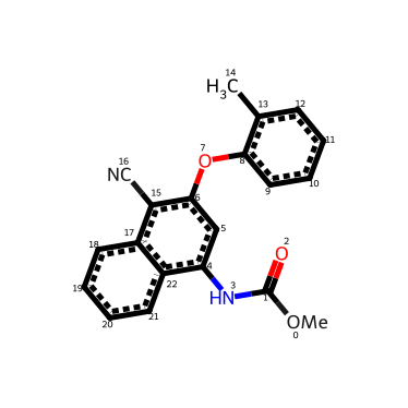 COC(=O)Nc1cc(Oc2ccccc2C)c(C#N)c2ccccc12